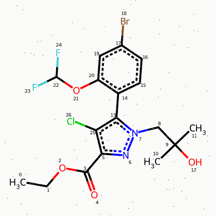 CCOC(=O)c1nn(CC(C)(C)O)c(-c2ccc(Br)cc2OC(F)F)c1Cl